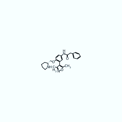 Cc1noc(C)c1-c1cc(NC(=O)Cc2ccccc2)ccc1OC[C@H]1CCCCN1